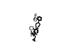 COc1c(F)cccc1C1CCN(c2ccn3c(CC4CC4)nnc3c2Cl)CC1